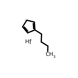 CCCCC1=C[CH]C=C1.[Hf]